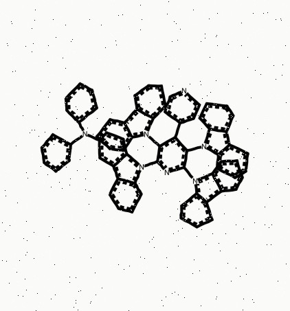 c1ccc(N(c2ccccc2)c2ccc3c(c2)c2ccccc2n3-c2nc(-n3c4ccccc4c4ccccc43)c(-n3c4ccccc4c4ccccc43)c(-c3ccncc3)c2-n2c3ccccc3c3ccccc32)cc1